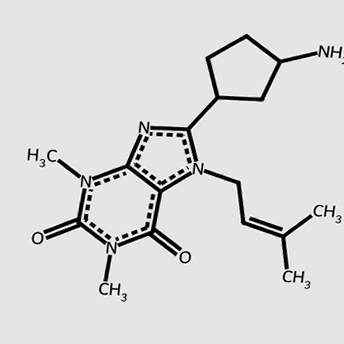 CC(C)=CCn1c(C2CCC(N)C2)nc2c1c(=O)n(C)c(=O)n2C